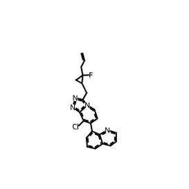 C=CCC1(F)CC1Cc1nnc2c(Cl)c(-c3cccc4cccnc34)ccn12